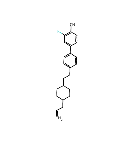 C=CCC1CCC(CCc2ccc(-c3ccc(C#N)c(F)c3)cc2)CC1